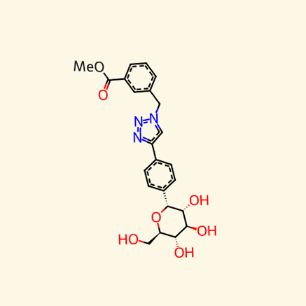 COC(=O)c1cccc(Cn2cc(-c3ccc([C@H]4O[C@H](CO)[C@@H](O)[C@H](O)[C@H]4O)cc3)nn2)c1